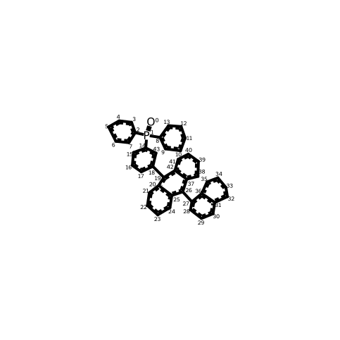 O=P(c1ccccc1)(c1ccccc1)c1cccc(-c2c3ccccc3c(-c3cccc4ccccc34)c3ccccc23)c1